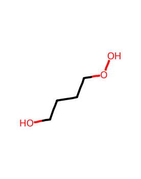 OCCCCOO